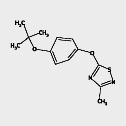 Cc1nsc(Oc2ccc(OC(C)(C)C)cc2)n1